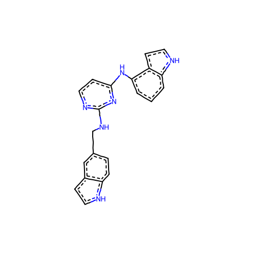 c1cc(Nc2ccnc(NCc3ccc4[nH]ccc4c3)n2)c2cc[nH]c2c1